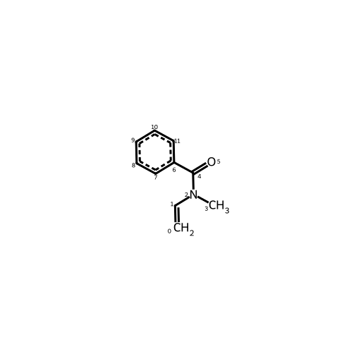 C=CN(C)C(=O)c1ccccc1